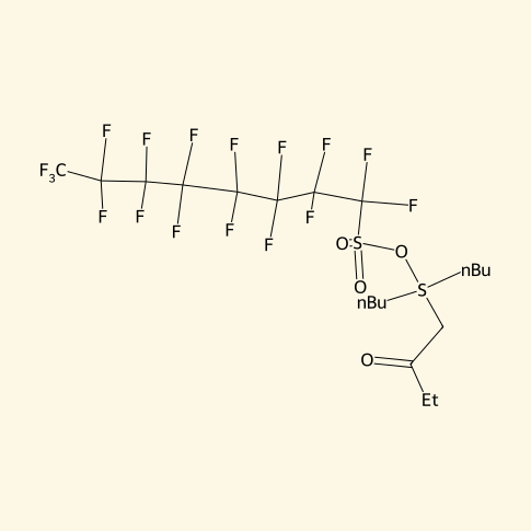 CCCCS(CCCC)(CC(=O)CC)OS(=O)(=O)C(F)(F)C(F)(F)C(F)(F)C(F)(F)C(F)(F)C(F)(F)C(F)(F)C(F)(F)F